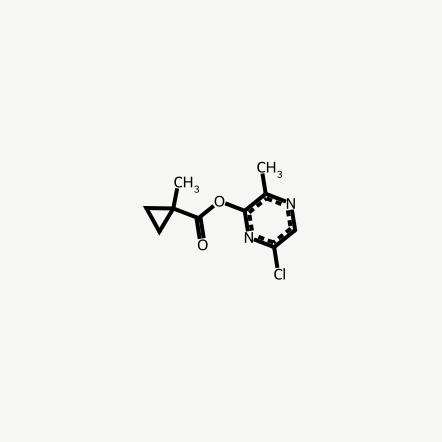 Cc1ncc(Cl)nc1OC(=O)C1(C)CC1